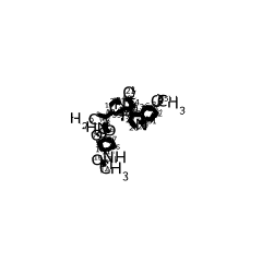 C=C[C@@H](CNS(=O)(=O)c1ccc(NC(C)=O)cc1)[C@H]1CCN2C(=O)S[C@@H](c3ccnc4ccc(OC)cc34)[C@@H]2C1